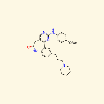 COc1ccc(Nc2ncc3c(n2)-c2cc(CCCN4CCCCC4)ccc2NC(=O)C3)cc1